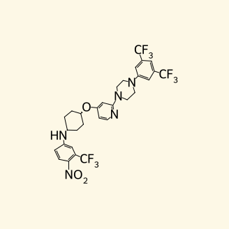 O=[N+]([O-])c1ccc(N[C@H]2CC[C@H](Oc3ccnc(N4CCN(c5cc(C(F)(F)F)cc(C(F)(F)F)c5)CC4)c3)CC2)cc1C(F)(F)F